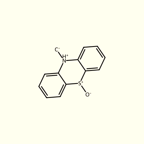 [CH2-][NH+]1c2ccccc2[S+]([O-])c2ccccc21